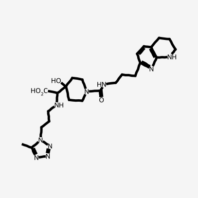 Cc1nnnn1CCCNC(C(=O)O)C1(O)CCN(C(=O)NCCCc2ccc3c(n2)NCCC3)CC1